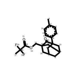 Cc1ccc(C23CC4CC(CC(COC(=O)C(C)(F)F)(C4)C2=O)C3)cc1